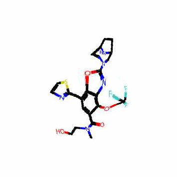 CN(CCO)C(=O)c1cc(-c2nccs2)c2oc(N3CC4CCC(C3)N4)nc2c1OC(F)(F)F